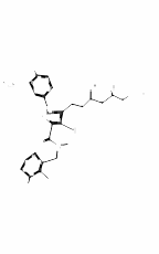 Cc1c(F)cccc1CN(C)C(=O)c1nn(-c2ccc(F)cc2)c(CCC(O)CC(O)CC(=O)[O-])c1C(C)C.[Na+]